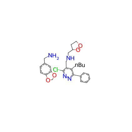 CCCCc1c(-c2ccccc2)nnc(Cl)c1CNCC1CCOO1.NCc1ccc2c(c1)OCO2